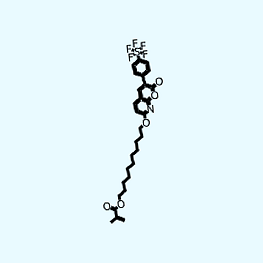 C=C(C)C(=O)OCCCCCCCCCCCOc1ccc2cc(-c3ccc(S(F)(F)(F)(F)F)cc3)c(=O)oc2n1